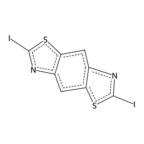 Ic1nc2cc3sc(I)nc3cc2s1